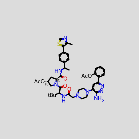 CC(=O)Oc1ccccc1-c1cc(N2CCN(CC(=O)NC(C(=O)N3C[C@H](OC(C)=O)C[C@H]3C(=O)NC(C)c3ccc(-c4scnc4C)cc3)C(C)(C)C)CC2)c(N)nn1